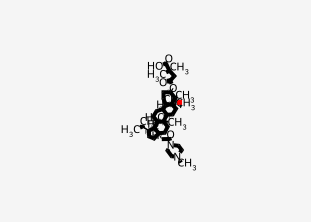 C=C(C)[C@@H]1CC[C@]2(CC(=O)N3CCN(C)CC3)CC[C@]3(C)[C@H](CC[C@@H]4[C@@]5(C)CC[C@H](OC(=O)CC(C)(C)C(=O)O)C(C)(C)[C@@H]5CC[C@]43C)[C@@H]12